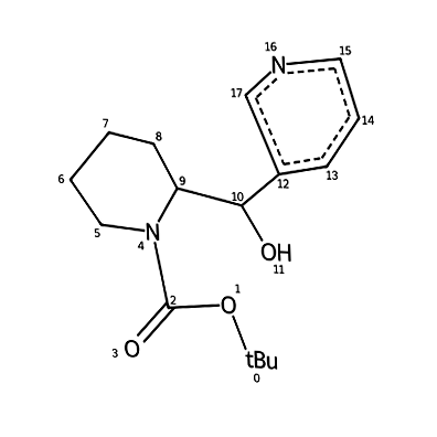 CC(C)(C)OC(=O)N1CCCCC1C(O)c1cccnc1